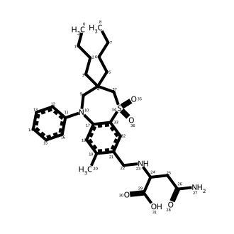 CCCCC1(CCCC)CN(c2ccccc2)c2cc(C)c(CNC(CC(N)=O)C(=O)O)cc2S(=O)(=O)C1